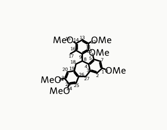 COc1cc2c(c(OC)c1)C(c1cc(OC)cc(OC)c1C)Cc1cc(OC)c(OC)cc1C2